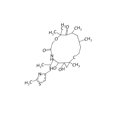 CC(=Cc1csc(C)n1)C1NC(=O)COC(C)(C)C(=O)C(C)CC(C)CCCC2(C)CC2(O)C1O